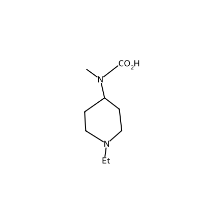 CCN1CCC(N(C)C(=O)O)CC1